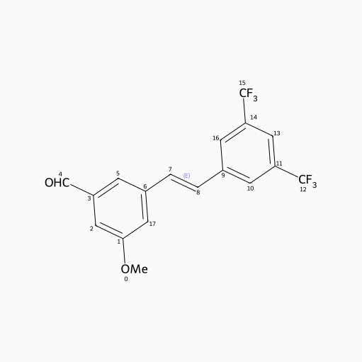 COc1cc(C=O)cc(/C=C/c2cc(C(F)(F)F)cc(C(F)(F)F)c2)c1